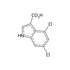 O=C(O)c1c[nH]c2cc(Cl)cc(Cl)c12